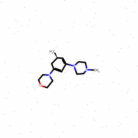 C[C@H]1C=C(N2CCN(C)CC2)C=C(N2CCOCC2)C1